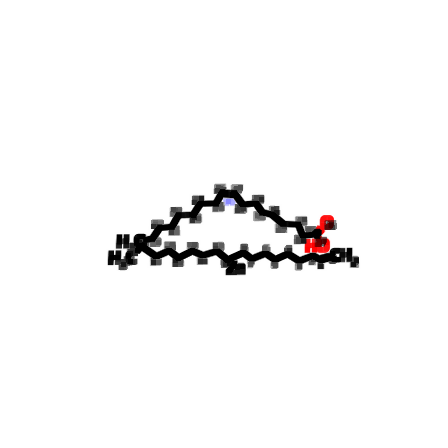 C=CCCCCCCCCCCCCCCCC.CCCCCCCC/C=C\CCCCCCCC(=O)O.[Zn]